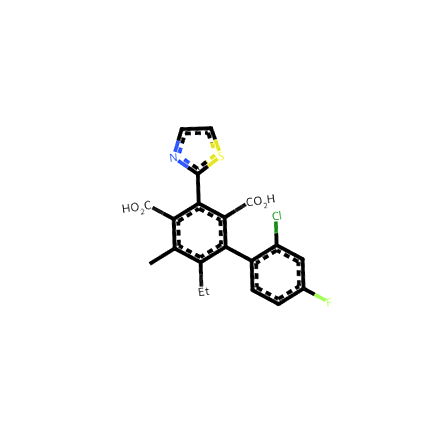 CCc1c(C)c(C(=O)O)c(-c2nccs2)c(C(=O)O)c1-c1ccc(F)cc1Cl